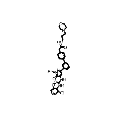 CCn1nc(-c2cccc(-c3ccc(CC(=O)NCCCN4CCOCC4)cc3)c2)cc(NC(=O)Nc2c(Cl)cncc2Cl)c1=O